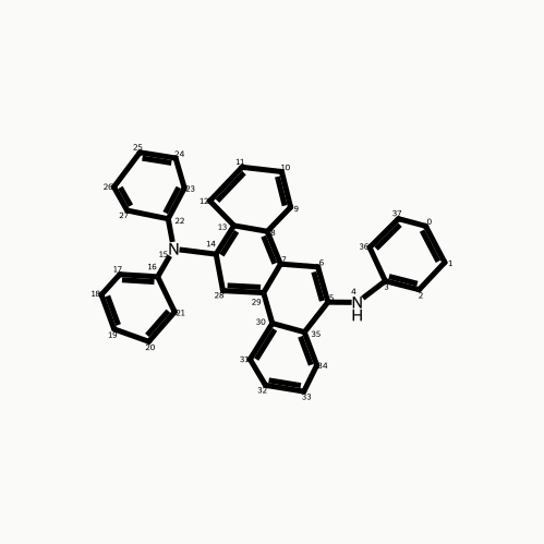 c1ccc(Nc2cc3c4ccccc4c(N(c4ccccc4)c4ccccc4)cc3c3ccccc23)cc1